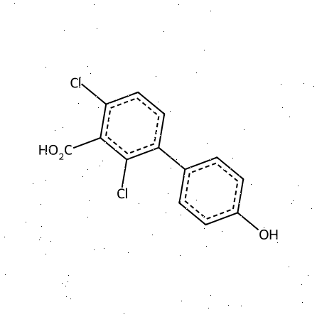 O=C(O)c1c(Cl)ccc(-c2ccc(O)cc2)c1Cl